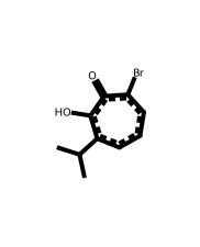 CC(C)c1cccc(Br)c(=O)c1O